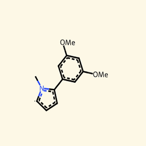 COc1cc(OC)cc(-c2cc[c]n2C)c1